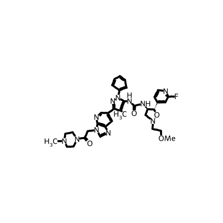 COCCN1C[C@@H](NC(=O)Nc2c(C)c(-c3cnc4c(c3)ncn4CC(=O)N3CCN(C)CC3)nn2-c2ccccc2)[C@H](c2ccnc(F)c2)O1